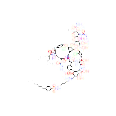 CCCCCCc1ccc(S(=O)(=O)NCCCCCCNCc2c(O)cc3c(c2O)-c2cc(ccc2O)[C@H]2CC(=O)[C@@H]4NC(=O)[C@H](CC(N)=O)CC(=O)[C@H](NC(=O)[C@H](CC)CC(C)C)[C@H](O)c5ccc(c(Cl)c5)Oc5cc4cc(c5O[C@@H]4O[C@H](CO)[C@@H](O)[C@H](O)[C@H]4O[C@H]4C[C@](C)(NC(N)=O)[C@H](OC(N)=O)[C@H](C)O4)Oc4ccc(cc4Cl)[C@@H](O)[C@H](NC2=O)C(=O)N[C@@H]3C(=O)O)cc1